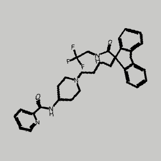 O=C(NC1CCN(CCCCC2(C(=O)NCC(F)(F)F)c3ccccc3-c3ccccc32)CC1)c1ccccn1